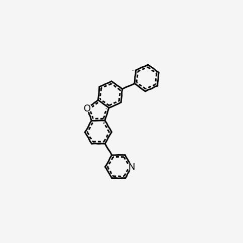 [c]1ccccc1-c1ccc2oc3ccc(-c4cccnc4)cc3c2c1